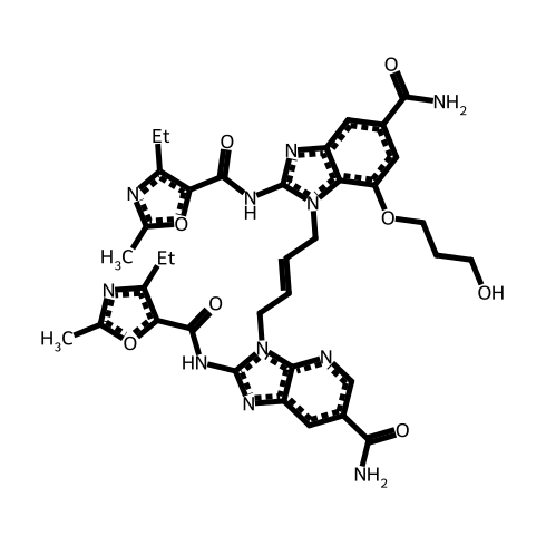 CCc1nc(C)oc1C(=O)Nc1nc2cc(C(N)=O)cnc2n1CC=CCn1c(NC(=O)c2oc(C)nc2CC)nc2cc(C(N)=O)cc(OCCCO)c21